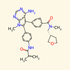 C=C(C)C(=O)Nc1ccc(-c2c(-c3ccc(C(=O)N(C)C[C@@H]4CCOC4)cc3)c3c(N)ncnc3n2C)cc1